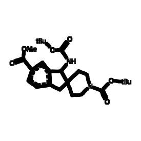 COC(=O)c1ccc2c(c1)C(NC(=O)OC(C)(C)C)C1(CCN(C(=O)OC(C)(C)C)CC1)C2